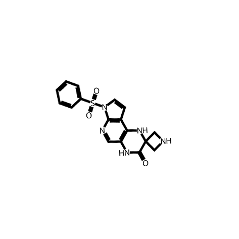 O=C1Nc2cnc3c(ccn3S(=O)(=O)c3ccccc3)c2NC12CNC2